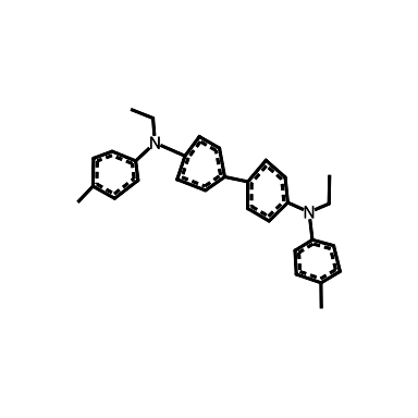 CCN(c1ccc(C)cc1)c1ccc(-c2ccc(N(CC)c3ccc(C)cc3)cc2)cc1